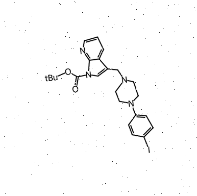 CC(C)(C)OC(=O)n1cc(CN2CCN(c3ccc(I)cc3)CC2)c2cccnc21